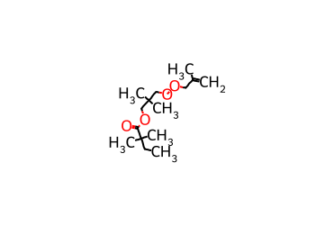 C=C(C)COOCC(C)(C)COC(=O)C(C)(C)CC